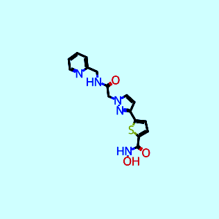 O=C(Cn1ccc(-c2ccc(C(=O)NO)s2)n1)NCc1ccccn1